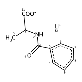 CC(NC(=O)c1ccccc1)C(=O)[O-].[Li+]